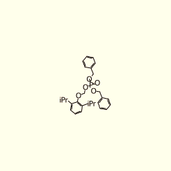 CC(C)c1cccc(C(C)C)c1OCOP(=O)(OCc1ccccc1)OCc1ccccc1